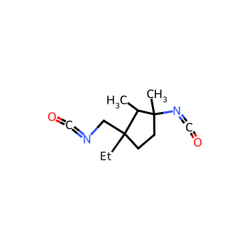 CCC1(CN=C=O)CCC(C)(N=C=O)C1C